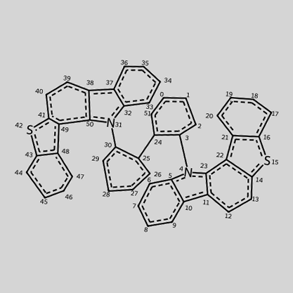 c1ccc(-n2c3ccccc3c3ccc4sc5ccccc5c4c32)c(-c2ccccc2-n2c3ccccc3c3ccc4sc5ccccc5c4c32)c1